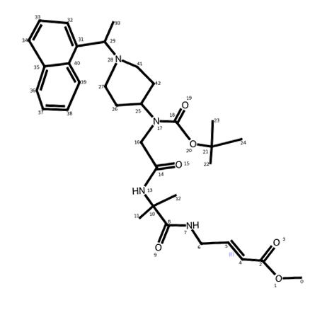 COC(=O)/C=C/CNC(=O)C(C)(C)NC(=O)CN(C(=O)OC(C)(C)C)C1CCN(C(C)c2cccc3ccccc23)CC1